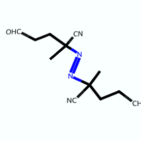 CC(C#N)(CCC=O)N=NC(C)(C#N)CCC=O